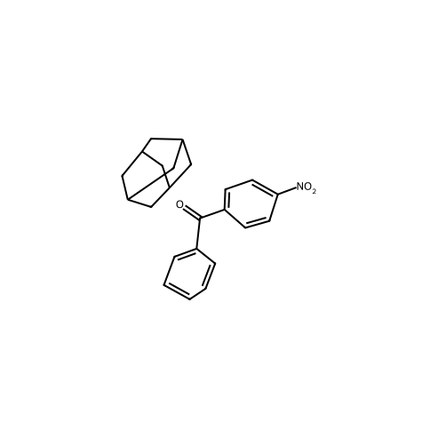 C1C2CC3CC1CC(C2)C3.O=C(c1ccccc1)c1ccc([N+](=O)[O-])cc1